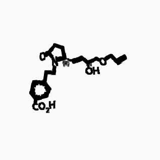 C=CCOC[C@H](O)C=C[C@H]1CCC(=O)N1CCc1ccc(C(=O)O)cc1